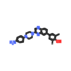 Cc1cc(-c2ccc3ncc(N4CCN(c5ccc(N)cc5)CC4)nc3c2)cc(C)c1O